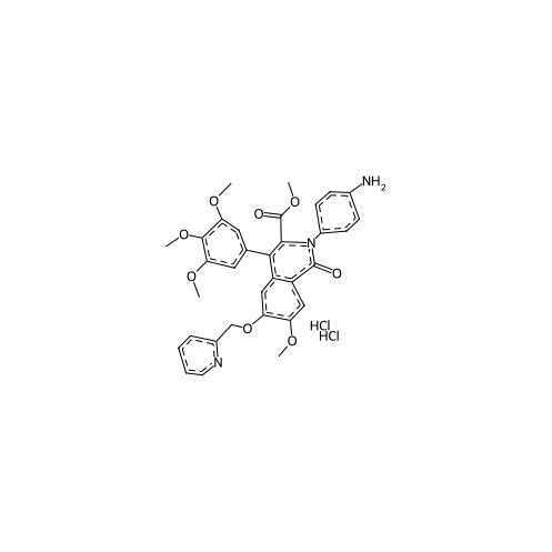 COC(=O)c1c(-c2cc(OC)c(OC)c(OC)c2)c2cc(OCc3ccccn3)c(OC)cc2c(=O)n1-c1ccc(N)cc1.Cl.Cl